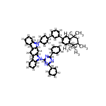 CC1CC(C)(C)c2cc(-c3cccc(-c4ccc(-n5c6ccccc6c6cc7c8ccccc8n(-c8nc(-c9ccccc9)nc(-c9ccccc9)n8)c7cc65)cc4)c3)ccc2C1(C)C